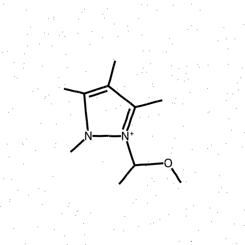 COC(C)[n+]1c(C)c(C)c(C)n1C